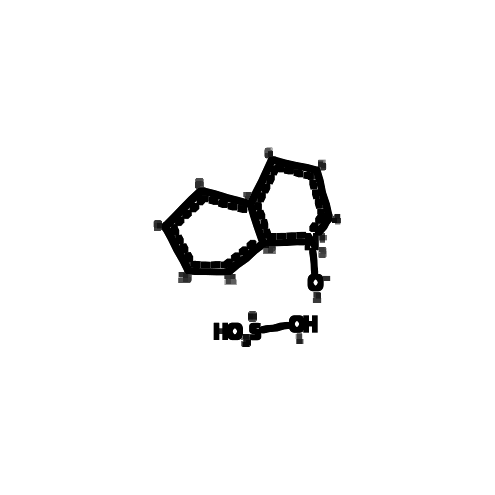 O=S(=O)(O)O.[O-][n+]1cccc2ccccc21